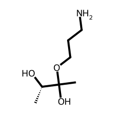 C[C@H](O)C(C)(O)OCCCN